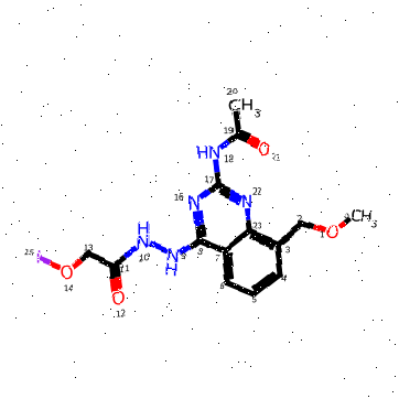 COCc1cccc2c(NNC(=O)COI)nc(NC(C)=O)nc12